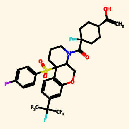 C=C(O)[C@H]1CC[C@](F)(C(=O)N2CCCC3(S(=O)(=O)c4ccc(I)cc4)c4ccc(C(F)(C(F)(F)F)C(F)(F)F)cc4OCC23)CC1